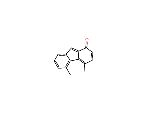 CC1=C2C(=Cc3cccc(C)c32)C(=O)C=C1